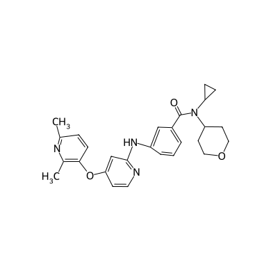 Cc1ccc(Oc2ccnc(Nc3cccc(C(=O)N(C4CCOCC4)C4CC4)c3)c2)c(C)n1